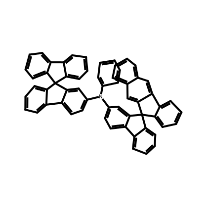 c1ccc(N(c2ccc3c(c2)C2(c4ccccc4-c4ccccc42)c2ccccc2-3)c2ccc3c(c2)C2(c4ccccc4-3)c3ccccc3-c3cc4ccccc4cc32)cc1